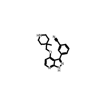 CC1(COc2ccnc3[nH]nc(-c4cccc(C#N)c4)c23)CCNCC1